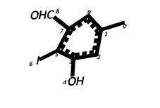 Cc1cc(O)c(I)c(C=O)c1